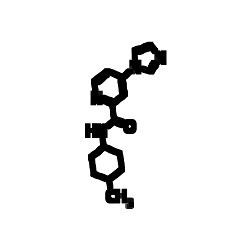 CC1CCC(NC(=O)c2cc(-n3ccnc3)ccn2)CC1